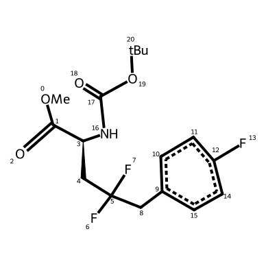 COC(=O)[C@H](CC(F)(F)Cc1ccc(F)cc1)NC(=O)OC(C)(C)C